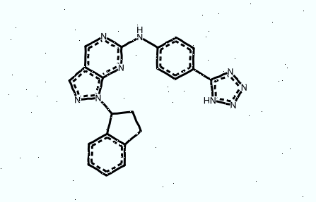 c1ccc2c(c1)CCC2n1ncc2cnc(Nc3ccc(-c4nnn[nH]4)cc3)nc21